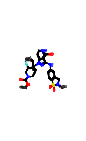 CC(C)(C)OC(=O)N1CCC(CC#N)(n2nc(Nc3ccc4c(c3)CN(C(C)(C)C)S4(=O)=O)c3c(=O)[nH]ccc32)C(F)C1